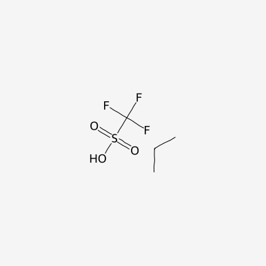 CCC.O=S(=O)(O)C(F)(F)F